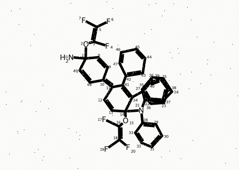 NC1(OC(F)=C(F)F)C=CC(=C2C=CC(OC(F)=C(F)F)(N(c3ccccc3)c3ccccc3)C(c3ccccc3)=C2c2ccccc2)C=C1